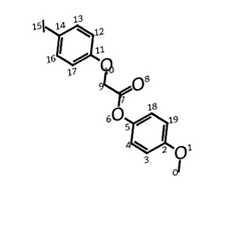 COc1ccc(OC(=O)COc2ccc(I)cc2)cc1